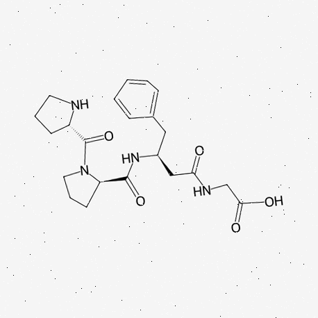 O=C(O)CNC(=O)C[C@H](Cc1ccccc1)NC(=O)[C@H]1CCCN1C(=O)[C@@H]1CCCN1